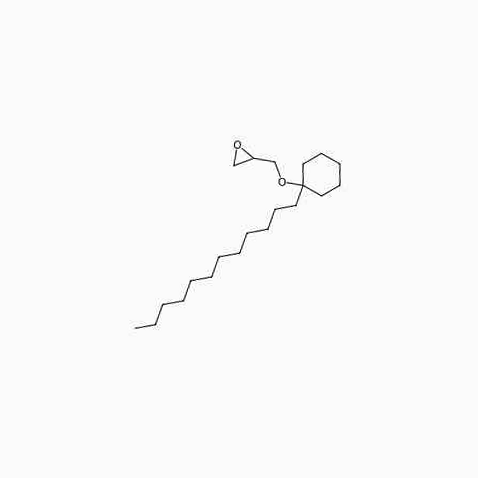 CCCCCCCCCCCCC1(OCC2CO2)CCCCC1